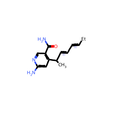 CC/C=C/C=C/C(C)c1cc(N)ncc1C(N)=O